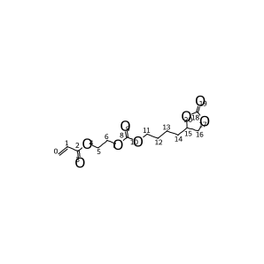 C=CC(=O)OCCOC(=O)OCCCCC1COC(=O)O1